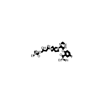 CCN(C(=O)c1cc(F)ccc1Oc1nncnc1N1CCC2(C1)CN(C(CC(O)COC(=O)N(CC)C(C)(C)C)C(C)C)C2)C(C)C